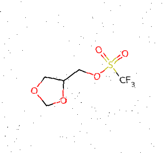 O=S(=O)(OCC1COCO1)C(F)(F)F